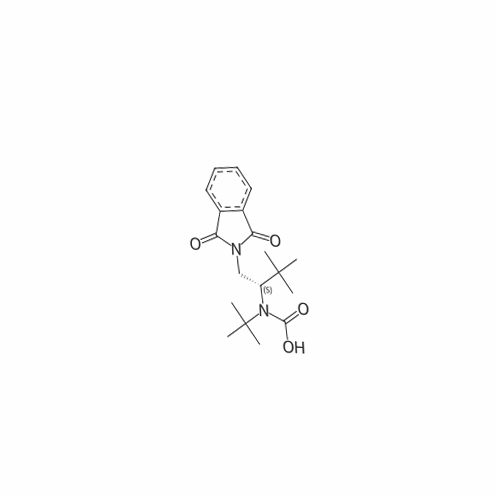 CC(C)(C)[C@@H](CN1C(=O)c2ccccc2C1=O)N(C(=O)O)C(C)(C)C